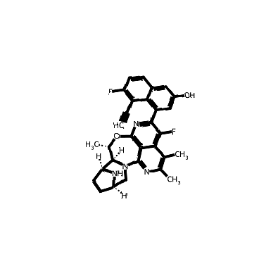 C#Cc1c(F)ccc2cc(O)cc(-c3nc4c5c(nc(C)c(C)c5c3F)N3C[C@H]5CC[C@H](N5)[C@H]3[C@H](C)O4)c12